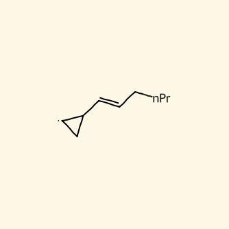 CCCCC=CC1[CH]C1